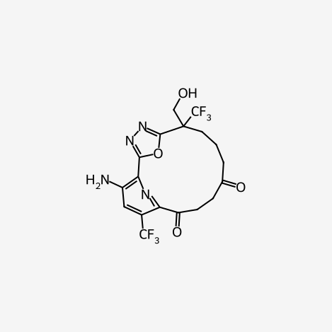 Nc1cc(C(F)(F)F)c2nc1-c1nnc(o1)C(CO)(C(F)(F)F)CCCC(=O)CCC2=O